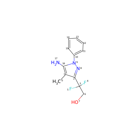 Cc1c(C(F)(F)CO)nn(-c2ccccc2)c1N